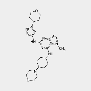 Cn1ccc2nc(Nc3cnn(C4CCOCC4)c3)nc(N[C@H]3CC[C@H](N4CCOCC4)CC3)c21